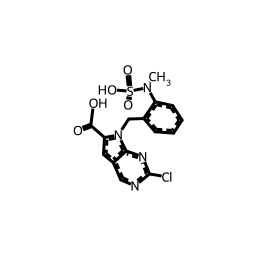 CN(c1ccccc1Cn1c(C(=O)O)cc2cnc(Cl)nc21)S(=O)(=O)O